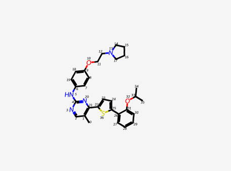 Cc1cnc(Nc2ccc(OCCN3CCCC3)cc2)nc1-c1ccc(-c2ccccc2OC(C)C)s1